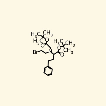 CC(C)(C)OC(=O)CN(CCBr)C(CCc1ccccc1)C(=O)OC(C)(C)C